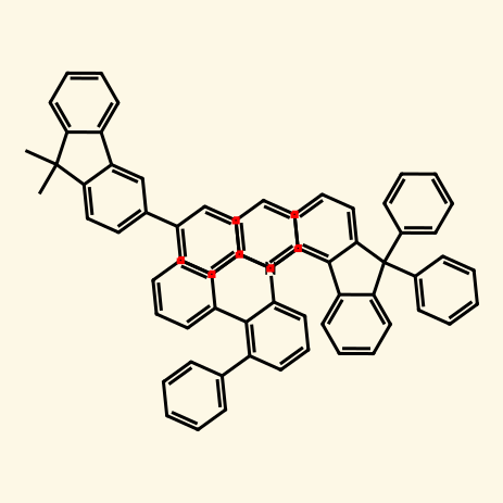 CC1(C)c2ccccc2-c2cc(-c3ccc(N(c4cccc(-c5ccccc5)c4-c4ccccc4-c4ccccc4)c4cccc5c4-c4ccccc4C5(c4ccccc4)c4ccccc4)cc3)ccc21